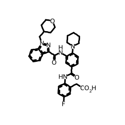 O=C(O)Cc1cc(F)ccc1NC(=O)c1ccc(N2CCCCC2)c(NC(=O)c2nn(CC3CCOCC3)c3ccccc23)c1